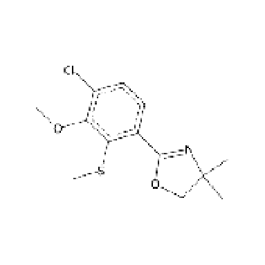 COc1c(Cl)ccc(C2=NC(C)(C)CO2)c1SC